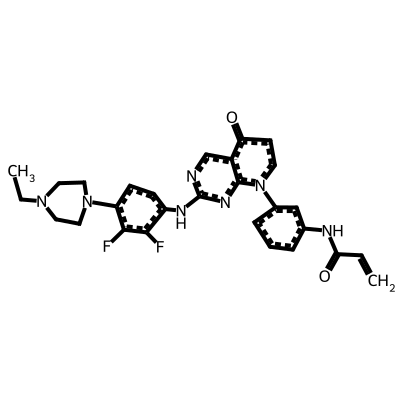 C=CC(=O)Nc1cccc(-n2ccc(=O)c3cnc(Nc4ccc(N5CCN(CC)CC5)c(F)c4F)nc32)c1